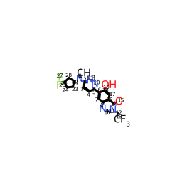 CN(c1ccc(-c2cc3ncn(CC(F)(F)F)c(=O)c3cc2O)nn1)[C@@H]1CCC(F)(F)C1